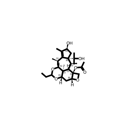 CCC1O[C@H]2C[C@H]3OC[C@@]3(OC(C)=O)[C@H]3[C@H](C)[C@]4(C(C)(C)O)C[C@H](O)C(C)=C4[C@H](C)[C@H](O1)[C@]23C